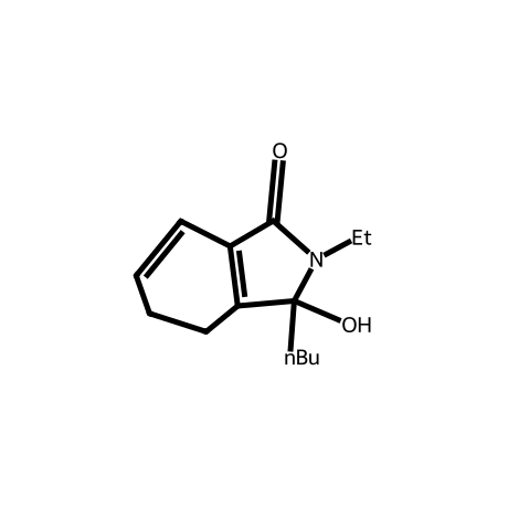 CCCCC1(O)C2=C(C=CCC2)C(=O)N1CC